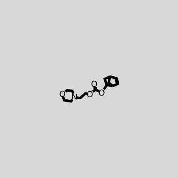 O=C(OCCN1CCOCC1)OC1CC2C=CC1C2